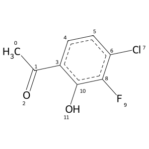 CC(=O)c1ccc(Cl)c(F)c1O